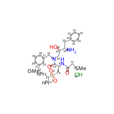 CCCC(CCC)S(=O)(=O)C[C@H](NC(=O)CSC)C(=O)N(Cc1cccc(OC)c1)C[C@@H](O)[C@@H](N)Cc1ccccc1.Cl